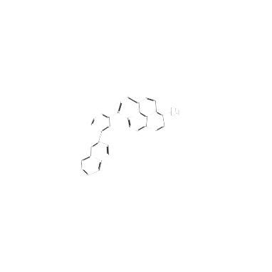 Brc1ccc2ccc3c(-c4cccc(-c5ccc6ccccc6c5)c4)ccc4ccc1c2c43